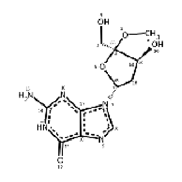 CO[C@]1(CO)O[C@@H](n2cnc3c(=O)[nH]c(N)nc32)C[C@@H]1O